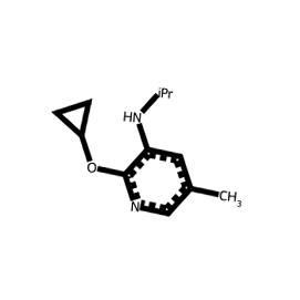 Cc1cnc(OC2CC2)c(NC(C)C)c1